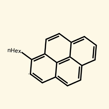 CCCCCCc1[c]cc2ccc3cccc4ccc1c2c34